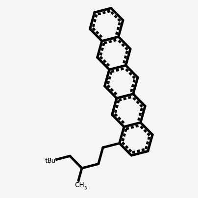 CC(CCc1cccc2cc3cc4cc5ccccc5cc4cc3cc12)CC(C)(C)C